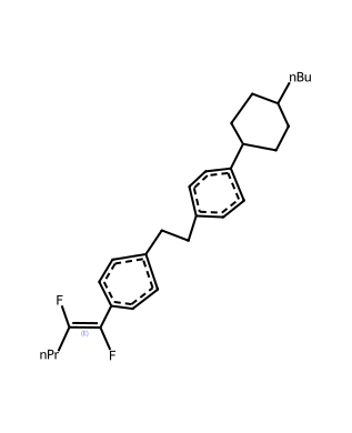 CCCCC1CCC(c2ccc(CCc3ccc(/C(F)=C(\F)CCC)cc3)cc2)CC1